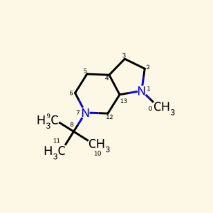 CN1CCC2CCN(C(C)(C)C)CC21